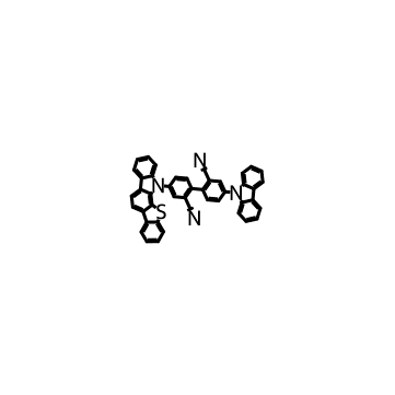 N#Cc1cc(-n2c3ccccc3c3ccccc32)ccc1-c1ccc(-n2c3ccccc3c3ccc4c5ccccc5sc4c32)cc1C#N